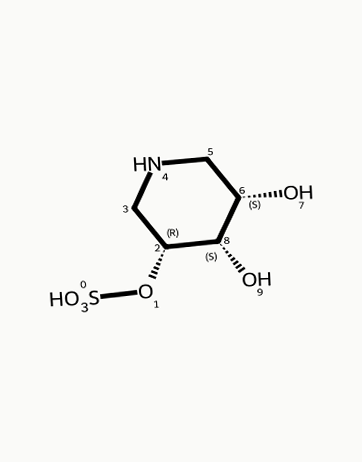 O=S(=O)(O)O[C@@H]1CNC[C@H](O)[C@@H]1O